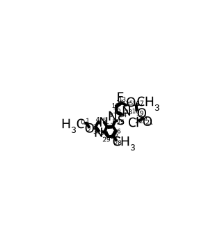 CCOc1cnc2c(-c3nc4cc(F)c(OC(C)COC(=O)Cl)nc4s3)cc(C)cc2n1